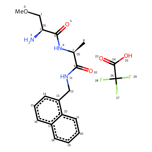 COC[C@H](N)C(=O)N[C@@H](C)C(=O)NCc1cccc2ccccc12.O=C(O)C(F)(F)F